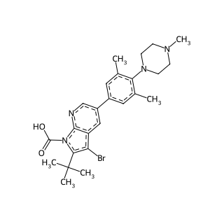 Cc1cc(-c2cnc3c(c2)c(Br)c(C(C)(C)C)n3C(=O)O)cc(C)c1N1CCN(C)CC1